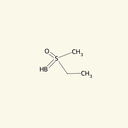 B=S(C)(=O)CC